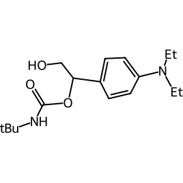 CCN(CC)c1ccc(C(CO)OC(=O)NC(C)(C)C)cc1